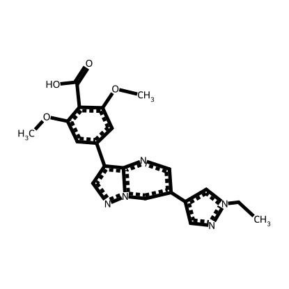 CCn1cc(-c2cnc3c(-c4cc(OC)c(C(=O)O)c(OC)c4)cnn3c2)cn1